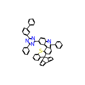 c1ccc(-c2cccc(-c3nc(-c4ccccc4)nc(-c4ccc5nc(-c6ccccc6)c6ccc7c(c6c5c4)Sc4ccccc4C74c5ccccc5-c5ccccc54)n3)c2)cc1